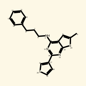 Cc1cc2c(NCCCc3ccccc3)nc(-c3ccsc3)nc2s1